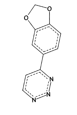 c1cc(-c2ccc3c(c2)OCO3)nnn1